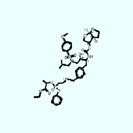 CCOC(=O)C(C)OP(=O)(CCNCc1ccc(C[C@H](NC(=O)O[C@H]2CO[C@H]3OCC[C@H]32)[C@H](O)CN(CC(C)C)S(=O)(=O)c2ccc(OC)cc2)cc1)Oc1ccccc1